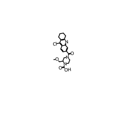 COCC1CN(C(=O)c2ccc3c(Cl)c4c(nc3c2)CCCC4)CCN1C(=O)O